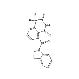 O=C1NC(=O)C(F)(F)c2cccc(C(=O)N3CCc4ccccc43)c21